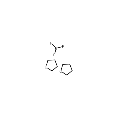 C1CCOC1.C1CCOC1.FB(F)F